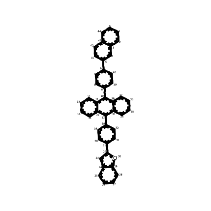 c1ccc2cc(-c3ccc(-c4c5ccccc5c(-c5ccc(-c6cc7ccccc7o6)cc5)c5ccccc45)cc3)ccc2c1